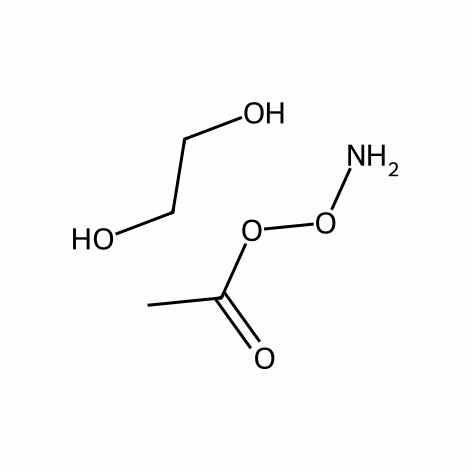 CC(=O)OON.OCCO